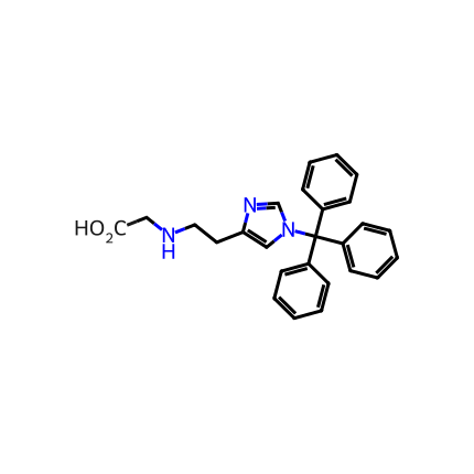 O=C(O)CNCCc1cn(C(c2ccccc2)(c2ccccc2)c2ccccc2)cn1